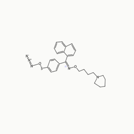 [N-]=[N+]=NOSc1ccc(/C(=N/OCCCCN2CCCCC2)c2cccc3ccccc23)cc1